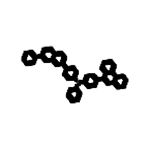 c1ccc(-c2ccc3ccc(-c4ccc(N(c5ccccc5)c5ccc(-c6cc7ccccc7c7ccccc67)cc5)cc4)cc3c2)cc1